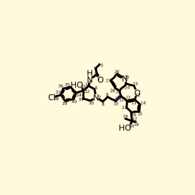 CCC(=O)NC1CN(CC/C=C2/C3=C(C=CC(C(C)(C)O)C3)OCC3N=CC=CC23)CCC1(O)c1ccc(Cl)cc1